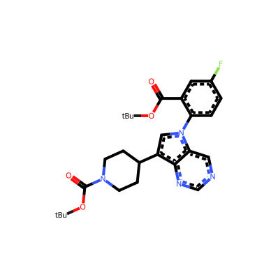 CC(C)(C)OC(=O)c1cc(F)ccc1-n1cc(C2CCN(C(=O)OC(C)(C)C)CC2)c2ncncc21